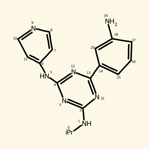 CC(C)Nc1nc(Nc2ccncc2)nc(-c2cccc(N)c2)n1